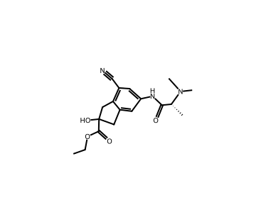 CCOC(=O)C1(O)Cc2cc(NC(=O)[C@@H](C)N(C)C)cc(C#N)c2C1